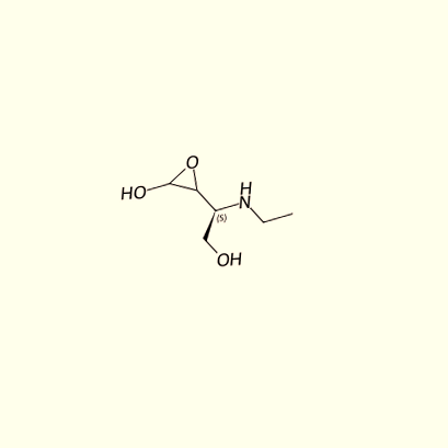 CCN[C@@H](CO)C1OC1O